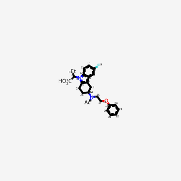 CCC(C(=O)O)n1c2c(c3cc(F)ccc31)CC(N(CCOc1ccccc1)C(C)=O)CC2